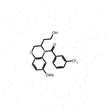 COc1ccc2c(c1)N(C(=O)c1cccc(C(F)(F)F)c1)C(CCO)CO2